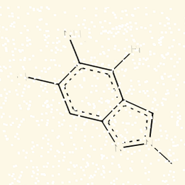 Cn1cc2c(Br)c(N)c(Cl)cc2n1